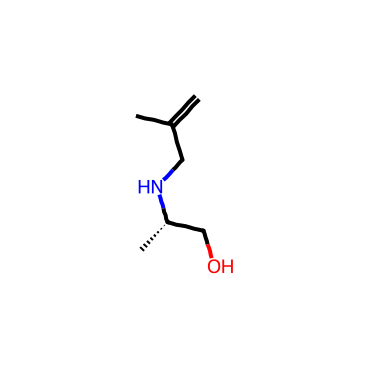 C=C(C)CN[C@@H](C)CO